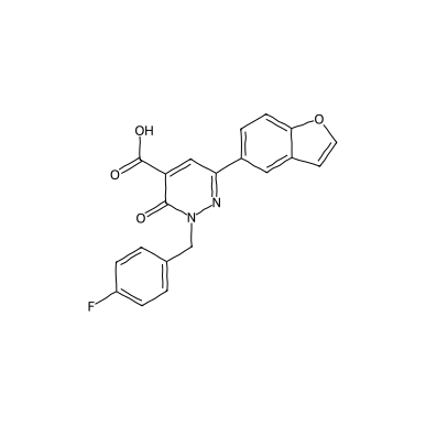 O=C(O)c1cc(-c2ccc3occc3c2)nn(Cc2ccc(F)cc2)c1=O